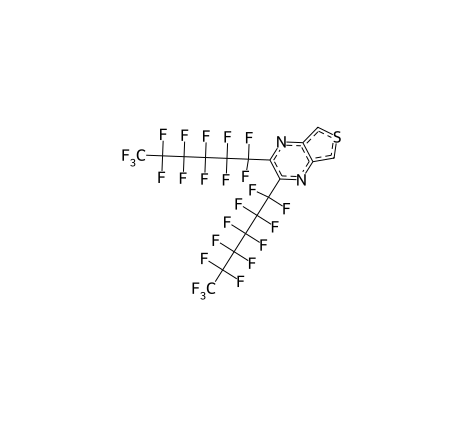 FC(F)(F)C(F)(F)C(F)(F)C(F)(F)C(F)(F)C(F)(F)c1nc2cscc2nc1C(F)(F)C(F)(F)C(F)(F)C(F)(F)C(F)(F)C(F)(F)F